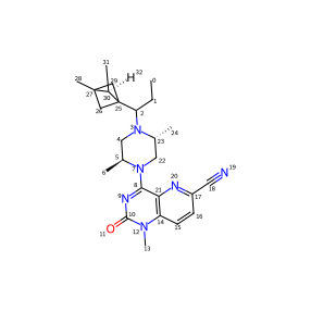 CCC(N1C[C@H](C)N(c2nc(=O)n(C)c3ccc(C#N)nc23)C[C@H]1C)C12CC(C)(C1)[C@H]2C